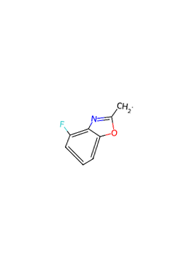 [CH2]c1nc2c(F)cccc2o1